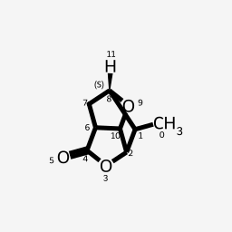 CC1C2OC(=O)C3C[C@@H]1OC32